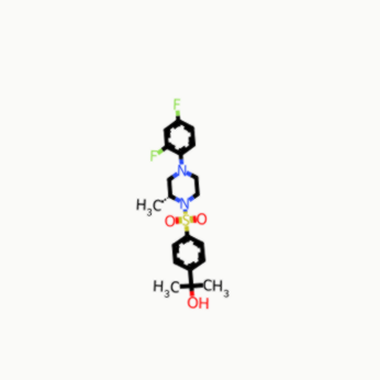 C[C@@H]1CN(c2ccc(F)cc2F)CCN1S(=O)(=O)c1ccc(C(C)(C)O)cc1